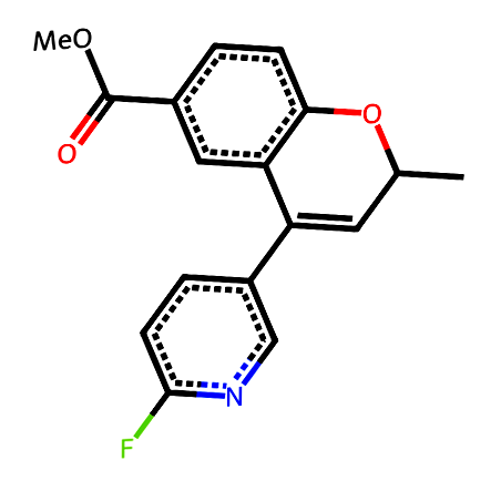 COC(=O)c1ccc2c(c1)C(c1ccc(F)nc1)=CC(C)O2